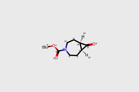 CC(C)(C)OC(=O)N1CC[C@@H]2C(=O)[C@@H]2CC1